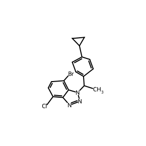 CC(c1ccc(C2CC2)cc1)n1nnc2c(Cl)ccc(Br)c21